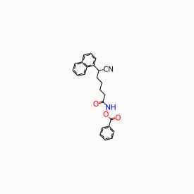 N#CC(CCCCC(=O)NOC(=O)c1ccccc1)c1cccc2ccccc12